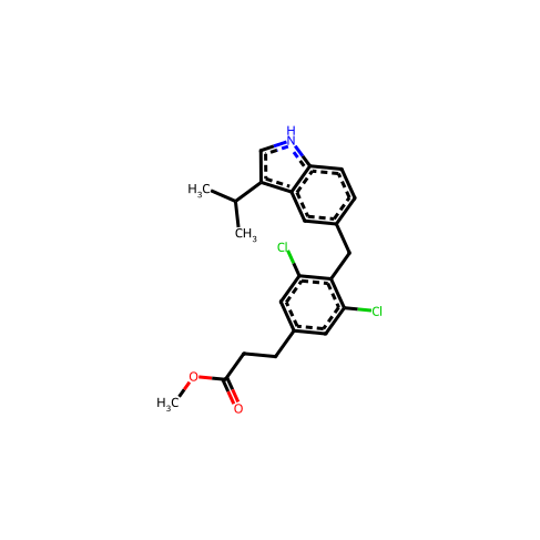 COC(=O)CCc1cc(Cl)c(Cc2ccc3[nH]cc(C(C)C)c3c2)c(Cl)c1